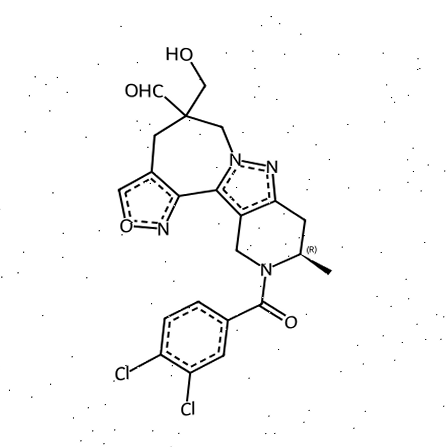 C[C@@H]1Cc2nn3c(c2CN1C(=O)c1ccc(Cl)c(Cl)c1)-c1nocc1CC(C=O)(CO)C3